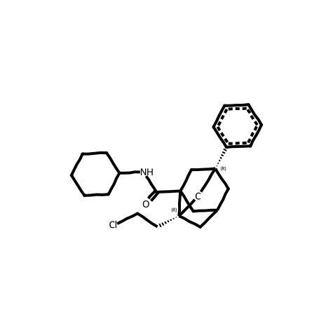 O=C(NC1CCCCC1)C12CC3C[C@](c4ccccc4)(C1)C[C@@]2(CCCl)C3